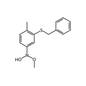 CON(O)c1ccc(C)c(SCc2ccccc2)c1